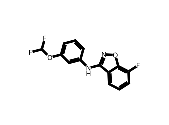 Fc1cccc2c(Nc3cccc(OC(F)F)c3)noc12